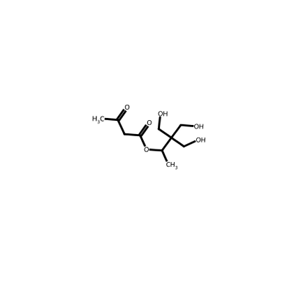 CC(=O)CC(=O)OC(C)C(CO)(CO)CO